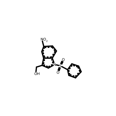 O=[N+]([O-])c1ccc2c(c1)c(CO)cn2S(=O)(=O)c1ccccc1